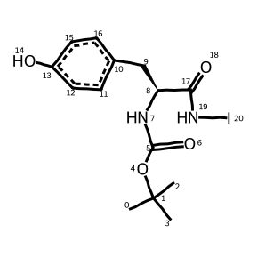 CC(C)(C)OC(=O)N[C@@H](Cc1ccc(O)cc1)C(=O)NI